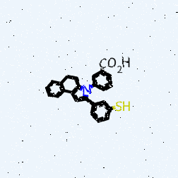 O=C(O)c1cccc(-n2c(-c3cccc(S)c3)cc3c2CCc2ccccc2-3)c1